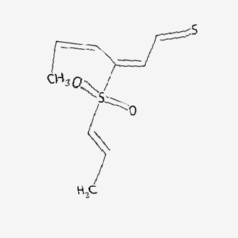 C/C=C\C(=C/C=S)S(=O)(=O)/C=C/C